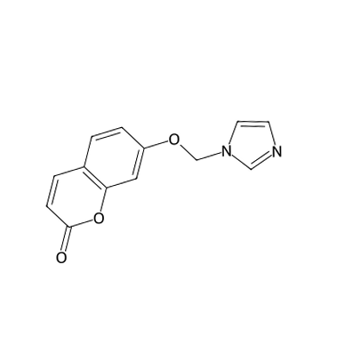 O=c1ccc2ccc(OCn3ccnc3)cc2o1